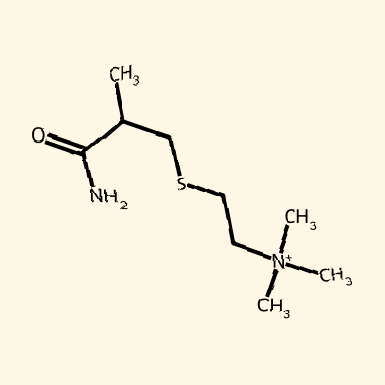 CC(CSCC[N+](C)(C)C)C(N)=O